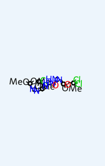 COc1cc(CN2CCN(Cc3ccc4c(c3)c(-c3c(Cl)cccc3OC)cn4CCCNC(=O)C3CN(Cc4ccc(OC)c(OCc5ccc(Cl)c(Cl)c5)c4)CCN3)CC2)cc(OC)c1